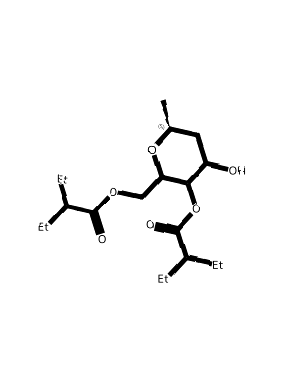 CCC(CC)C(=O)OCC1O[C@@H](C)CC(O)C1OC(=O)C(CC)CC